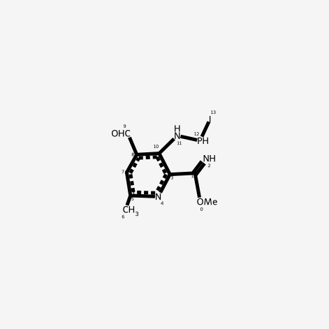 COC(=N)c1nc(C)cc(C=O)c1NPI